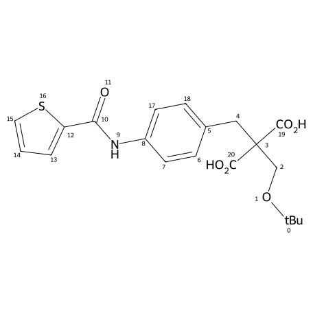 CC(C)(C)OCC(Cc1ccc(NC(=O)c2cccs2)cc1)(C(=O)O)C(=O)O